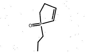 CCCP1(=O)C=CCC1